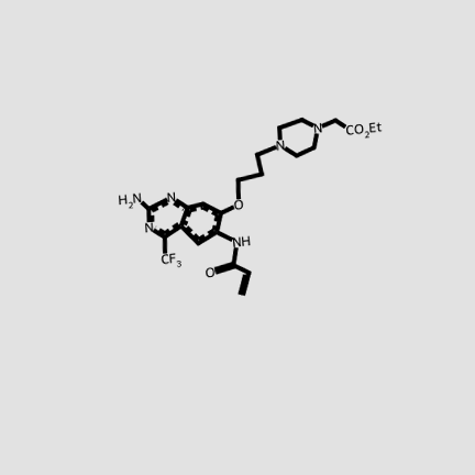 C=CC(=O)Nc1cc2c(C(F)(F)F)nc(N)nc2cc1OCCCN1CCN(CC(=O)OCC)CC1